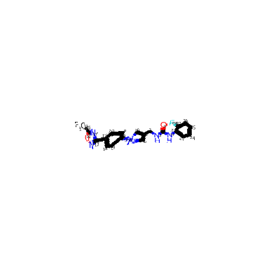 O=C(NCc1cnn(-c2ccc(-c3noc(C(F)(F)F)n3)cc2)c1)Nc1ccccc1F